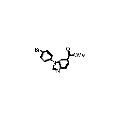 COC(=O)c1ccc2ncn(-c3ccc(Br)cc3)c2c1